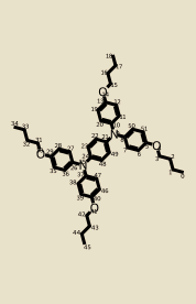 CCCCOc1ccc(N(c2ccc(OCCCC)cc2)c2ccc(N(c3ccc(OCCCC)cc3)c3ccc(OCCCC)cc3)cc2)cc1